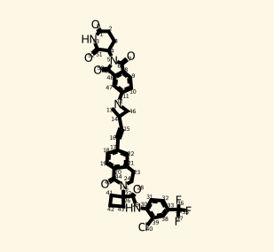 O=C1CCC(N2C(=O)c3ccc(N4CC(C#Cc5ccc6c(c5)CCN(C5(C(=O)Nc7ccc(C(F)(F)F)cc7Cl)CCC5)C6=O)C4)cc3C2=O)C(=O)N1